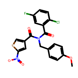 COc1ccc(CN(C(=O)c2csc([N+](=O)[O-])c2)C(=O)c2cc(F)ccc2Cl)cc1